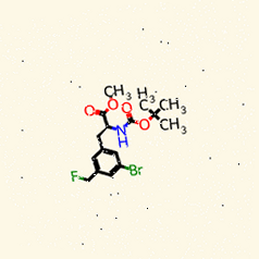 COC(=O)[C@H](Cc1cc(Br)cc(CF)c1)NC(=O)OC(C)(C)C